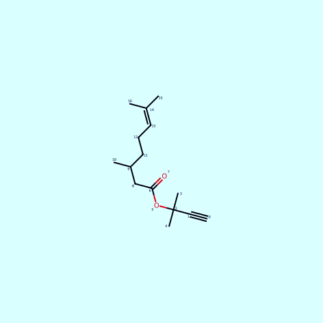 C#CC(C)(C)OC(=O)CC(C)CCC=C(C)C